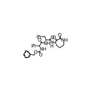 CC(C)CC(NC(=O)C(NC(=O)OCc1ccccc1)C(C)C)C(=O)NC1CCCCNC(=O)C1=O